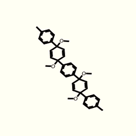 COC1(c2ccc(C)cc2)C=CC(OC)(c2ccc(C3(OC)C=CC(OC)(c4ccc(C)cc4)C=C3)cc2)C=C1